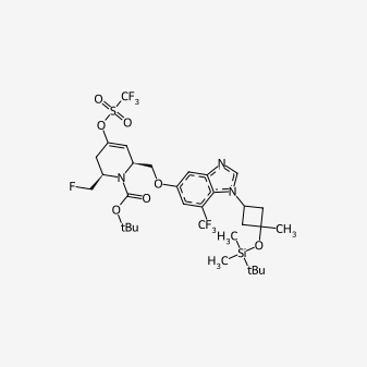 CC(C)(C)OC(=O)N1[C@@H](CF)CC(OS(=O)(=O)C(F)(F)F)=C[C@H]1COc1cc(C(F)(F)F)c2c(c1)ncn2C1CC(C)(O[Si](C)(C)C(C)(C)C)C1